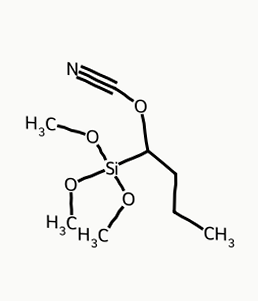 CCCC(OC#N)[Si](OC)(OC)OC